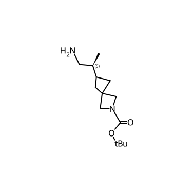 C[C@H](CN)C1CC2(C1)CN(C(=O)OC(C)(C)C)C2